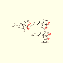 CCCCC(CC)(CC)C(=O)[O-].CCCCC(CC)(CC)C(=O)[O-].CCCCC(CC)(CC)C(=O)[O-].[Ru+3]